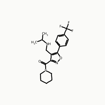 CC(C)NCc1c(C(=O)N2CCCCC2)noc1-c1ccc(C(F)(F)F)cc1